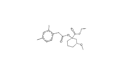 CCOC(=O)C1(OC(=O)Cc2ccc(C)cc2C)CCCC(OC)C1